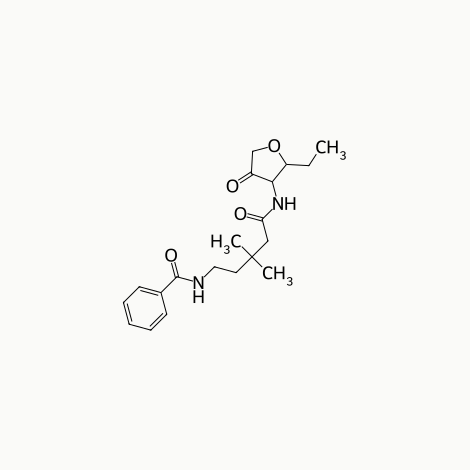 CCC1OCC(=O)C1NC(=O)CC(C)(C)CCNC(=O)c1ccccc1